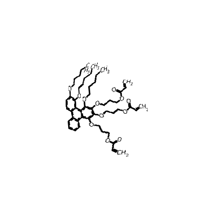 C=CC(=O)OCCCOc1c(OCCCOC(=O)C=C)c(OCCCCC)c2c3c(OCCCCC)c(OCCCCC)ccc3c3ccccc3c2c1OCCCOC(=O)C=C